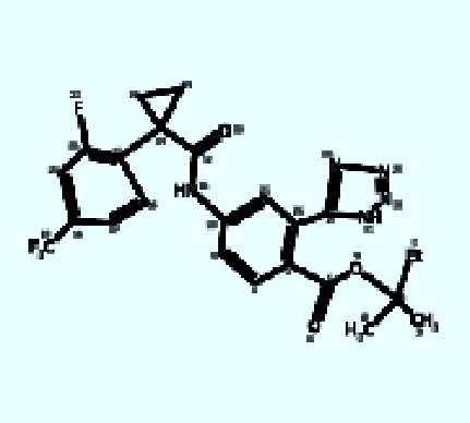 CCC(C)(C)OC(=O)c1ccc(NC(=O)C2(c3ccc(C(F)(F)F)cc3F)CC2)cc1-c1nnn[nH]1